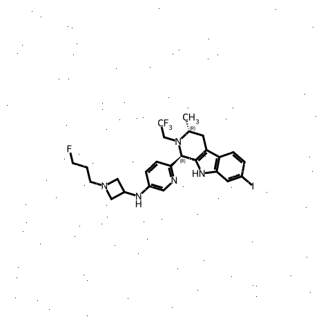 C[C@@H]1Cc2c([nH]c3cc(I)ccc23)[C@@H](c2ccc(NC3CN(CCCF)C3)cn2)N1CC(F)(F)F